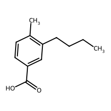 CCCCc1cc(C(=O)O)ccc1C